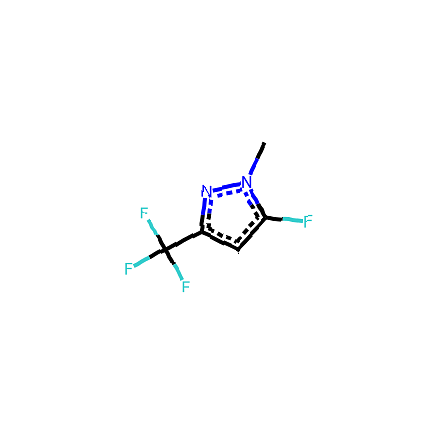 Cn1nc(C(F)(F)F)[c]c1F